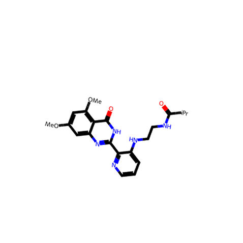 COc1cc(OC)c2c(=O)[nH]c(-c3ncccc3NCCNC(=O)C(C)C)nc2c1